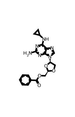 Nc1nc(NC2CC2)c2ncn([C@H]3CO[C@@H](COC(=O)c4ccccc4)O3)c2n1